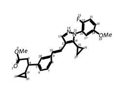 COC(=O)CC(c1cccc(/C=C/c2cnn(-c3cc(OC)ccc3F)c2C2CC2)c1)C1CC1